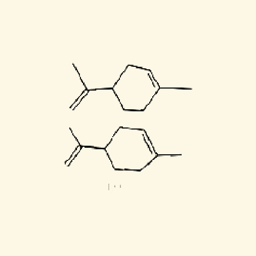 C=C(C)C1CC=C(C)CC1.C=C(C)C1CC=C(C)CC1.O